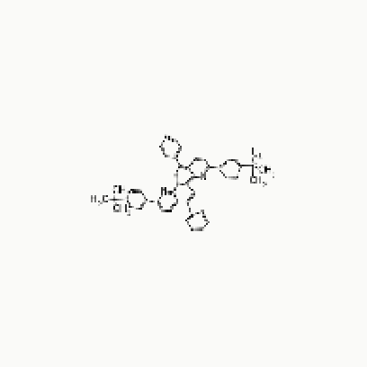 CC(C)(C)c1ccc(-c2ccc3c(-c4ccccc4)cc4c(cc(-c5ccccc5)c5ccc(-c6ccc(C(C)(C)C)cc6)nc54)c3n2)cc1